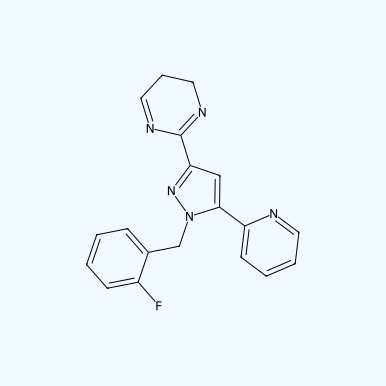 Fc1ccccc1Cn1nc(C2=NCCC=N2)cc1-c1ccccn1